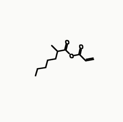 C=CC(=O)OC(=O)C(C)CCCCC